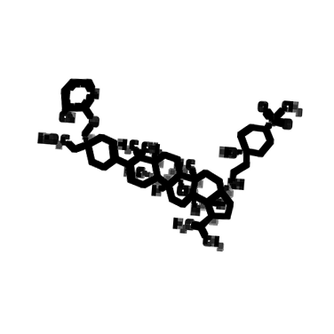 C=C(C)[C@@H]1CC[C@]2(NCC[C@]3(O)CC[C@H](S(C)(=O)=O)CC3)CC[C@]3(C)[C@H](CC[C@@H]4[C@@]5(C)CC=C(C6=CC[C@](COc7ncccc7C#N)(CC(=O)OCC)CC6)C(C)(C)[C@@H]5CC[C@]43C)[C@@H]12